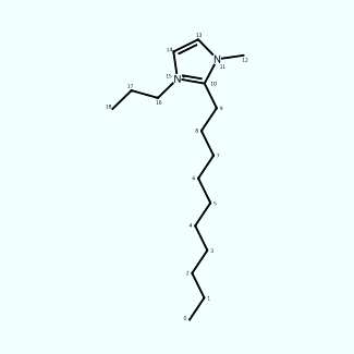 CCCCCCCCCCc1n(C)cc[n+]1CCC